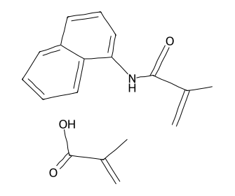 C=C(C)C(=O)Nc1cccc2ccccc12.C=C(C)C(=O)O